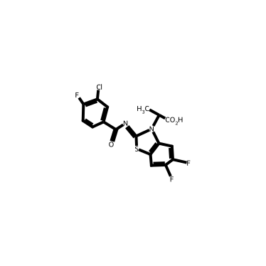 CC(C(=O)O)n1c(=NC(=O)c2ccc(F)c(Cl)c2)sc2cc(F)c(F)cc21